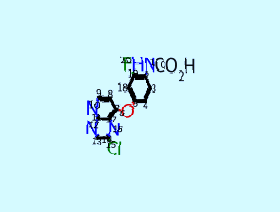 O=C(O)Nc1ccc(Oc2ccnc3ncc(Cl)nc23)cc1F